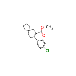 COC(=O)C1=C(c2ccc(Cl)cc2)CCC2(CCCC2)C1